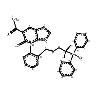 COC(=O)c1cc2ncsc2n(-c2ccccc2CCCC(C)(C)[Si](O)(c2ccccc2)c2ccccc2)c1=O